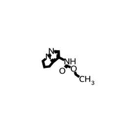 CCOC(=O)Nc1cnn2c1CCC2